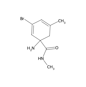 CNC(=O)C1(N)C=C(Br)C=C(C)C1